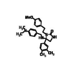 COc1ccc(CCN2C(=O)NCC2(NCc2ccc(N(C)C)cc2)c2ccc(C)c(C)c2)cc1